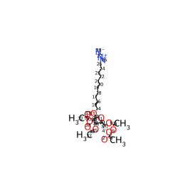 CC(=O)OC[C@@H](OC(C)=O)[C@@H]1O[C@@H](OCC=CCCCCCCCCCN=[N+]=[N-])[C@H](OC(C)=O)[C@H]1OC(C)=O